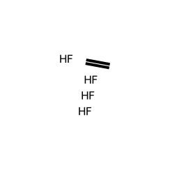 C=C.F.F.F.F